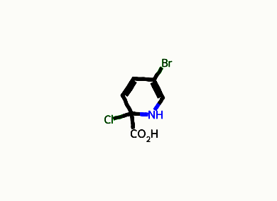 O=C(O)C1(Cl)C=CC(Br)=CN1